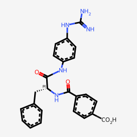 N=C(N)Nc1ccc(NC(=O)[C@@H](Cc2ccccc2)NC(=O)c2ccc(C(=O)O)cc2)cc1